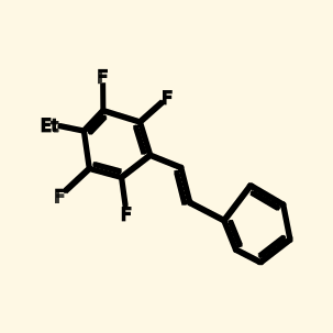 CCc1c(F)c(F)c(/C=C/c2ccccc2)c(F)c1F